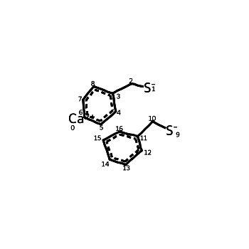 [Ca+2].[S-]Cc1ccccc1.[S-]Cc1ccccc1